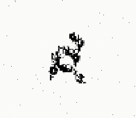 Cc1c2ccc(c1Cl)CN(CCN1CCN(C)CC1)Cc1ccc(OCc3ccnc([C@]4(C)CCCO4)n3)c(c1)C[C@H](C(=O)O)Oc1ncnc3sc(-c4ccc(F)cc4)c-2c13